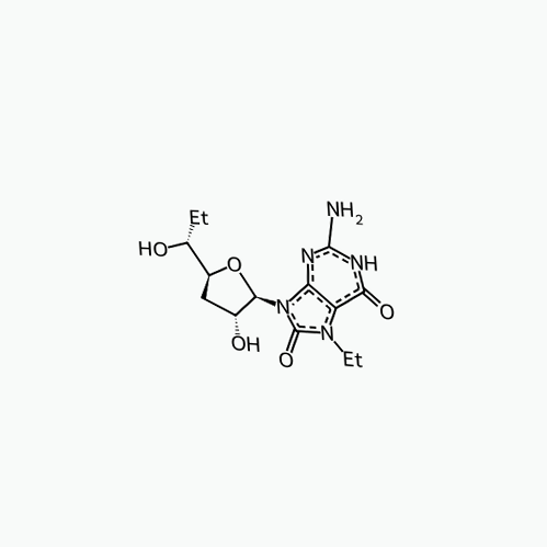 CC[C@@H](O)[C@@H]1C[C@@H](O)[C@H](n2c(=O)n(CC)c3c(=O)[nH]c(N)nc32)O1